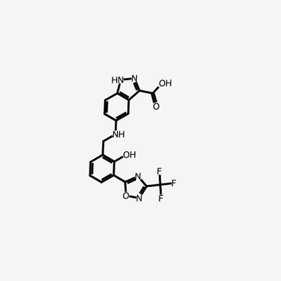 O=C(O)c1n[nH]c2ccc(NCc3cccc(-c4nc(C(F)(F)F)no4)c3O)cc12